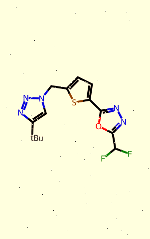 CC(C)(C)c1cn(Cc2ccc(-c3nnc(C(F)F)o3)s2)nn1